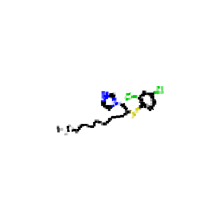 CCCCCCCCC(Cn1ccnc1)Sc1ccc(Cl)cc1Cl